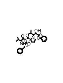 CC(C)C(C(O)c1nc2ccccc2o1)N1CCC[C@H]1C(=O)N(C(=O)OCc1ccccc1)C(=O)[C@@H](N)C(C)C